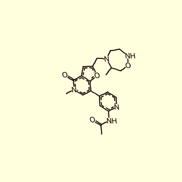 CC(=O)Nc1cc(-c2cn(C)c(=O)c3cc(CN4CCNOCC4C)oc23)ccn1